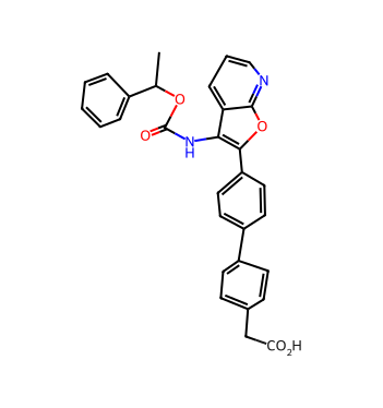 CC(OC(=O)Nc1c(-c2ccc(-c3ccc(CC(=O)O)cc3)cc2)oc2ncccc12)c1ccccc1